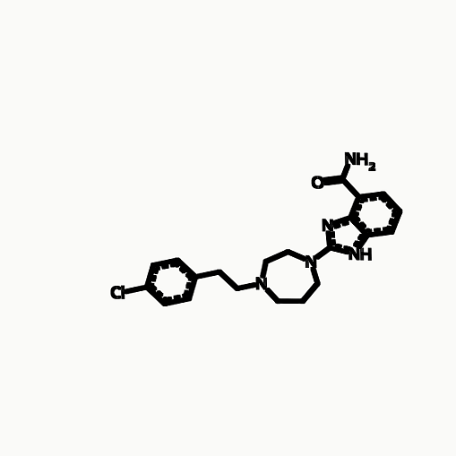 NC(=O)c1cccc2[nH]c(N3CCCN(CCc4ccc(Cl)cc4)CC3)nc12